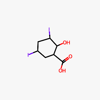 O=C(O)C1CC(I)CC(I)C1O